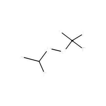 FC(F)OOC(F)(F)F